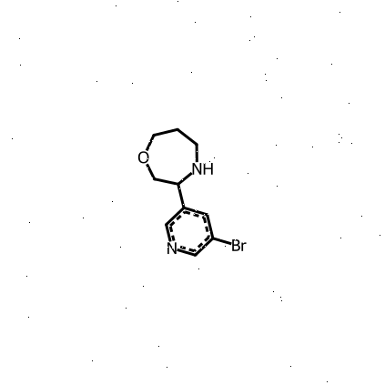 Brc1cncc(C2COCCCN2)c1